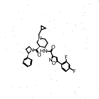 O=C(N[C@H]1CCN(CC2CC2)C[C@@H]1C(=O)N1CC[C@@H]1c1ccccc1)c1cc(-c2ccc(F)cc2F)on1